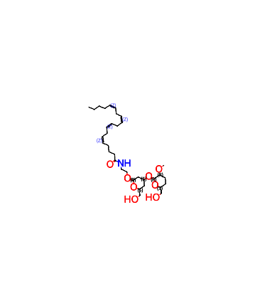 CCCC/C=C\C/C=C\C/C=C\C/C=C\CCCC(=O)NCCO[C@H]1C[C@@H](O[C@@H]2O[C@H](CO)CC[C@H]2OC)C[C@@H](CO)O1